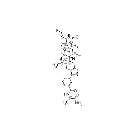 CCC(=O)O[C@]1(C(=O)SCF)CC[C@H]2[C@@H]3C[C@H](C)C4=Cc5c(cnn5-c5cccc(C(=O)N[C@H](C)C(N)=O)c5)C[C@]4(C)[C@H]3[C@@H](O)C[C@@]21C